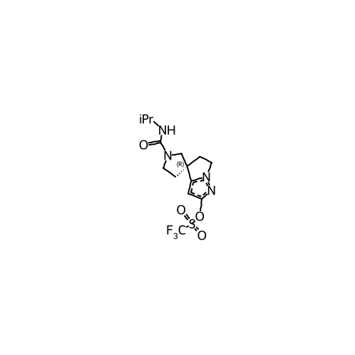 CC(C)NC(=O)N1CC[C@@]2(CCn3nc(OS(=O)(=O)C(F)(F)F)cc32)C1